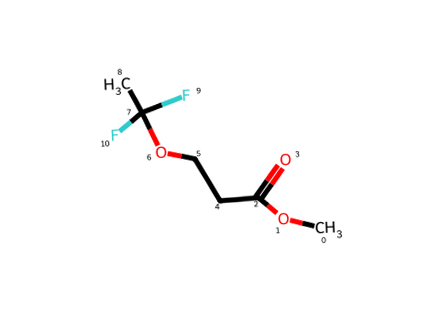 COC(=O)CCOC(C)(F)F